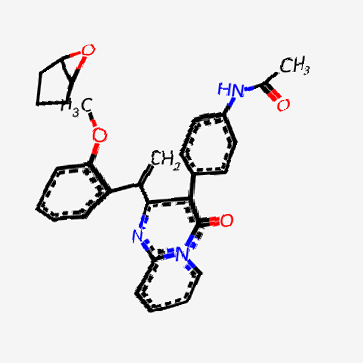 C1CC2OC2C1.C=C(c1ccccc1OC)c1nc2ccccn2c(=O)c1-c1ccc(NC(C)=O)cc1